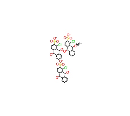 O=C1c2ccccc2C(=O)c2c1ccc(S(=O)(=O)[O-])c2Cl.O=C1c2ccccc2C(=O)c2c1ccc(S(=O)(=O)[O-])c2Cl.O=C1c2ccccc2C(=O)c2c1ccc(S(=O)(=O)[O-])c2Cl.[Al+3]